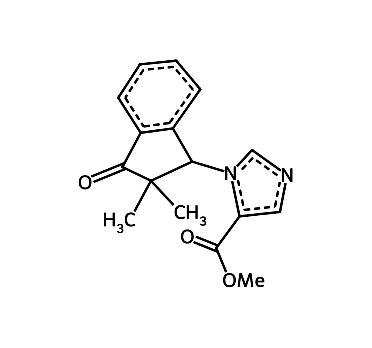 COC(=O)c1cncn1C1c2ccccc2C(=O)C1(C)C